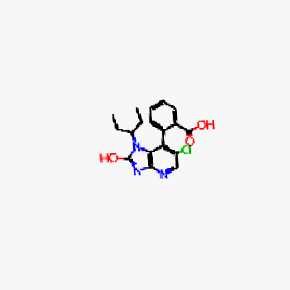 CCC(CC)n1c(O)nc2ncc(Cl)c(-c3ccccc3C(=O)O)c21